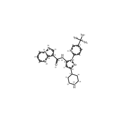 [2H]C([2H])([2H])c1ccc(-n2nc(C3CCNCC3)cc2NC(=O)c2cnn3cccnc23)nc1